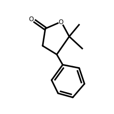 CC1(C)OC(=O)CC1c1ccccc1